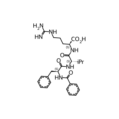 CC(C)[C@H](NC(=O)[C@H](Cc1ccccc1)NC(=O)c1ccccc1)C(=O)N[C@@H](CCCNC(=N)N)C(=O)O